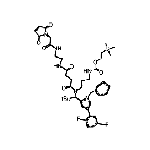 CC(C)(C)[C@H](c1cc(-c2cc(F)ccc2F)cn1Cc1ccccc1)N(CCCNC(=O)OCC[Si](C)(C)C)C(=O)CCC(=O)NCCNC(=O)CN1C(=O)C=CC1=O